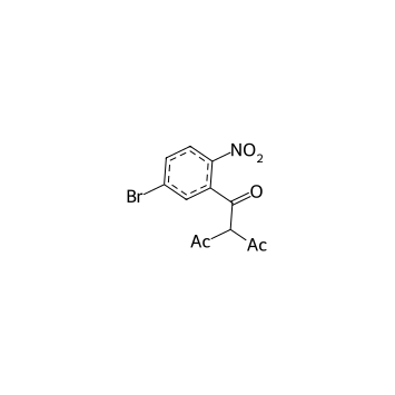 CC(=O)C(C(C)=O)C(=O)c1cc(Br)ccc1[N+](=O)[O-]